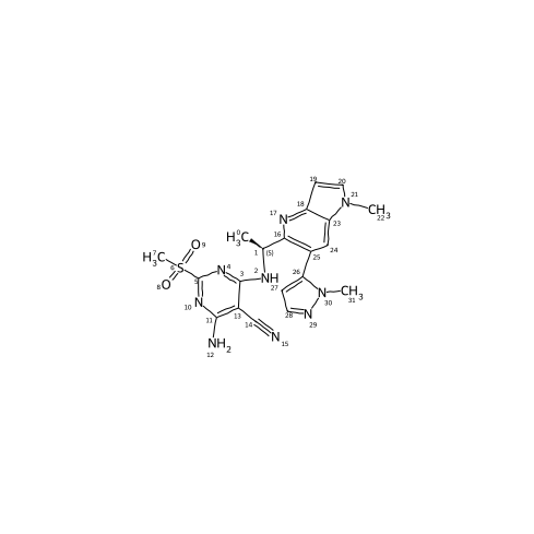 C[C@H](Nc1nc(S(C)(=O)=O)nc(N)c1C#N)c1nc2ccn(C)c2cc1-c1ccnn1C